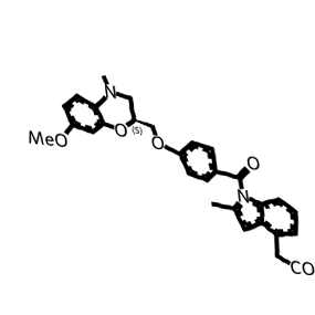 COc1ccc2c(c1)O[C@H](COc1ccc(C(=O)n3c(C)cc4c(CC(=O)O)cccc43)cc1)CN2C